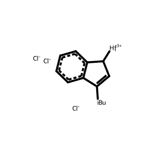 CCC(C)C1=C[CH]([Hf+3])c2ccccc21.[Cl-].[Cl-].[Cl-]